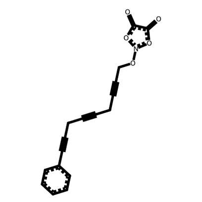 O=c1on(OCC#CCC#CCC#Cc2ccccc2)oc1=O